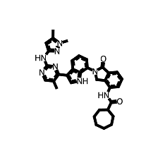 Cc1cnc(Nc2cc(C)n(C)n2)nc1-c1c[nH]c2c(N3Cc4c(NC(=O)C5CCCCCC5)cccc4C3=O)cccc12